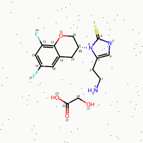 NCCC1=C[N]C(=S)N1[C@H]1COc2c(F)cc(F)cc2C1.O=C(O)CO